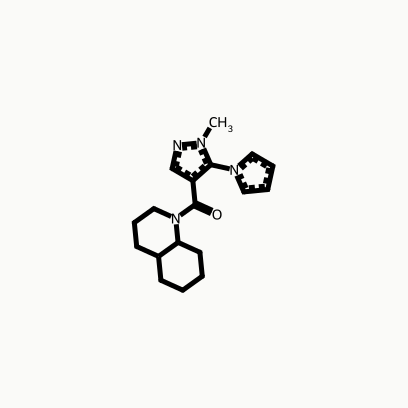 Cn1ncc(C(=O)N2CCCC3CCCCC32)c1-n1cccc1